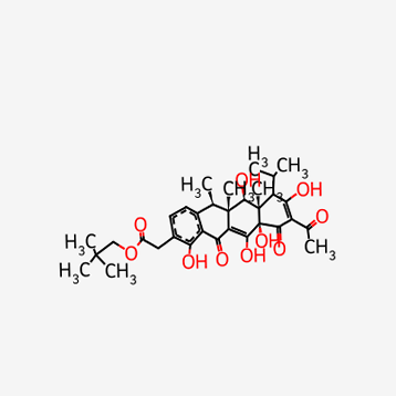 CC(=O)C1=C(O)C(C(C)C)[C@@]2(C)[C@H](O)[C@]3(C)C(=C(O)[C@@]2(O)C1=O)C(=O)c1c(ccc(CC(=O)OCC(C)(C)C)c1O)[C@H]3C